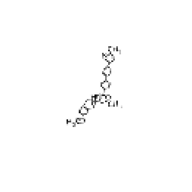 CCCC(NC(=O)c1ccc(-c2ccc(-c3ccc(C)nc3)cc2)cc1)N1CCc2ccc(OC)cc2C1